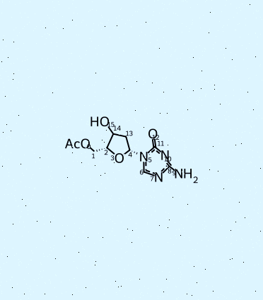 CC(=O)OC[C@H]1O[C@@H](n2cnc(N)nc2=O)CC1O